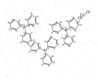 [Cl][Co][Cl].c1ccc(P(c2ccccc2)c2ccccc2)cc1.c1ccc(P(c2ccccc2)c2ccccc2)cc1.c1ccc(P(c2ccccc2)c2ccccc2)cc1